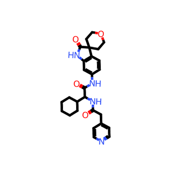 O=C(Cc1ccncc1)NC(C(=O)Nc1ccc2c(c1)NC(=O)C21CCOCC1)C1CCCCC1